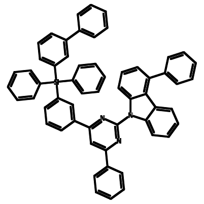 c1ccc(-c2cccc([Si](c3ccccc3)(c3ccccc3)c3cccc(-c4cc(-c5ccccc5)nc(-n5c6ccccc6c6c(-c7ccccc7)cccc65)n4)c3)c2)cc1